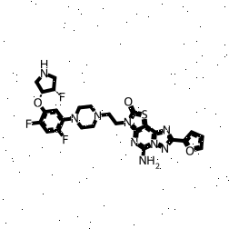 Nc1nc2c(sc(=O)n2CCN2CCN(c3cc(O[C@@H]4CNC[C@@H]4F)c(F)cc3F)CC2)c2nc(-c3ccco3)nn12